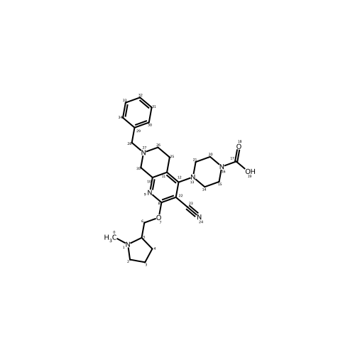 CN1CCCC1COc1nc2c(c(N3CCN(C(=O)O)CC3)c1C#N)CCN(Cc1ccccc1)C2